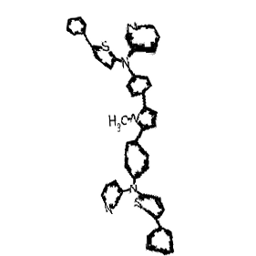 Cn1c(-c2ccc(N(c3cccnc3)c3ccc(-c4ccccc4)s3)cc2)ccc1-c1ccc(N(c2cccnc2)c2ccc(-c3ccccc3)s2)cc1